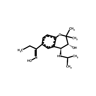 CCC(=NO)c1ccc2c(c1)[C@H](NC(C)C)[C@@H](O)C(C)(C)O2